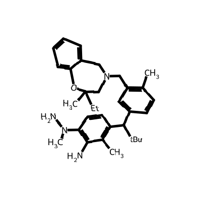 CCC1(C)CN(Cc2cc(C(c3ccc(N(C)N)c(N)c3C)C(C)(C)C)ccc2C)Cc2ccccc2O1